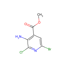 COC(=O)c1cc(Br)nc(Cl)c1N